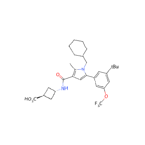 Cc1c(C(=O)N[C@H]2C[C@H](C(=O)O)C2)cc(-c2cc(OC(F)(F)F)cc(C(C)(C)C)c2)n1CC1CCCCC1